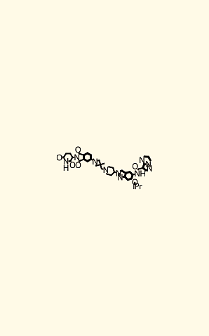 CC(C)Oc1cc2nn(C3CCN(CC4(C)CN(c5ccc6c(c5)C(=O)N(C5CCC(=O)NC5=O)C6=O)C4)CC3)cc2cc1NC(=O)c1cnn2cccnc12